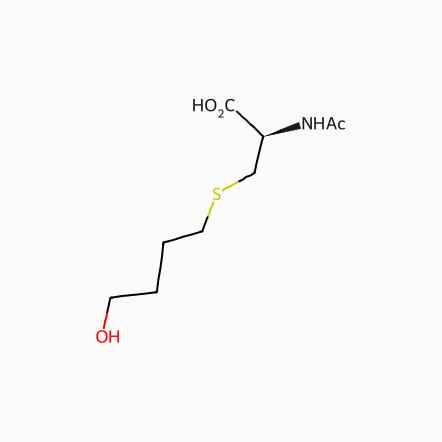 CC(=O)N[C@@H](CSCCCCO)C(=O)O